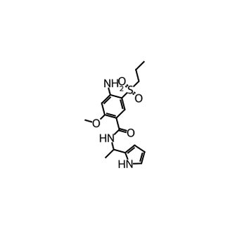 CCCS(=O)(=O)c1cc(C(=O)NC(C)c2ccc[nH]2)c(OC)cc1N